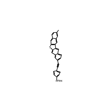 CCCCCCc1ccc(C#Cc2ccc3cc4c(cc3c2)sc2cc3ccc(C)cc3cc24)cc1